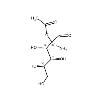 CC(=O)O[C@@](N)(C=O)[C@@H](O)[C@@H](O)[C@H](O)CO